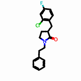 O=C1C(Cc2ccc(F)cc2Cl)CCN1CCc1ccccc1